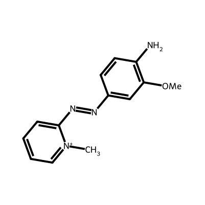 COc1cc(/N=N/c2cccc[n+]2C)ccc1N